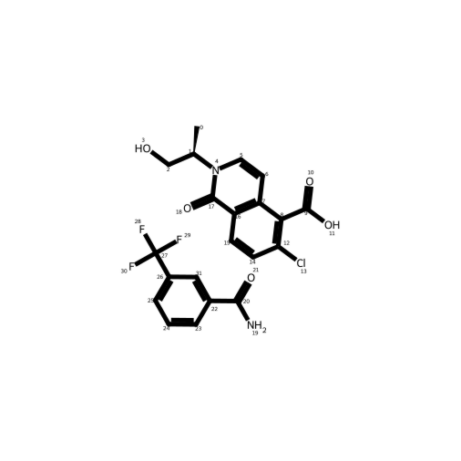 C[C@H](CO)n1ccc2c(C(=O)O)c(Cl)ccc2c1=O.NC(=O)c1cccc(C(F)(F)F)c1